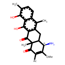 COC1=C(C(C)=O)C(=O)C2(C)C(=O)c3c(c(C)c4ccc(C)c(O)c4c3O)CC2[C@H]1N